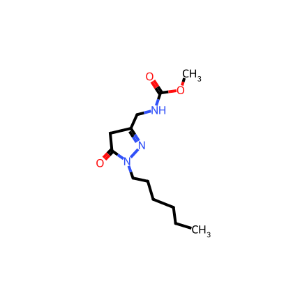 CCCCCCN1N=C(CNC(=O)OC)CC1=O